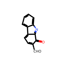 O=CC1=CC=C2C(=Nc3ccccc32)C1=O